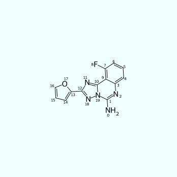 Nc1nc2cccc(F)c2c2nc(-c3ccco3)nn12